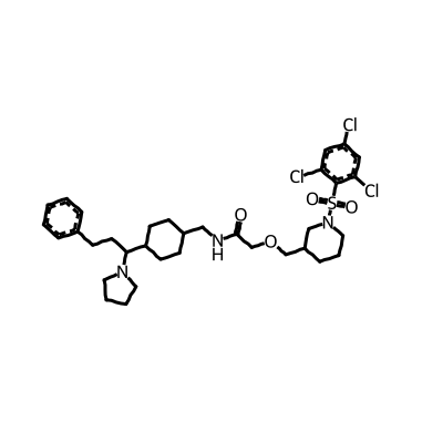 O=C(COCC1CCCN(S(=O)(=O)c2c(Cl)cc(Cl)cc2Cl)C1)NCC1CCC(C(CCc2ccccc2)N2CCCC2)CC1